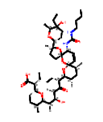 CCCCNC(=O)N[C@@H]1C=C[C@]2(O[C@H]([C@@H](CC)C(=O)[C@@H](C)[C@@H](O)[C@H](C)[C@@H]3O[C@@H]([C@@H](CC)C(=O)O)CC[C@@H]3C)[C@@H](C)C[C@H]2C)O[C@@]12CC[C@@](C)([C@H]1CC[C@](O)(CC)[C@H](C)O1)O2